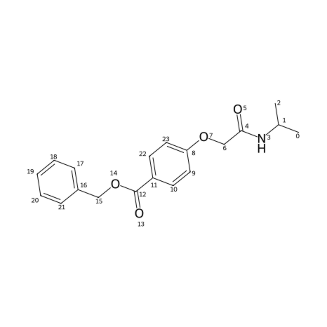 CC(C)NC(=O)COc1ccc(C(=O)OCc2ccccc2)cc1